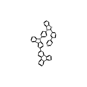 c1cc(-c2ccncc2)cc(-c2nc3ccccc3n2-c2ccc(-n3c4ccccc4c4cc(-c5ccc6c7ccccc7c7ccccc7c6c5)ccc43)cc2)c1